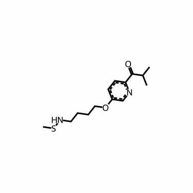 CSNCCCCOc1ccc(C(=O)C(C)C)nc1